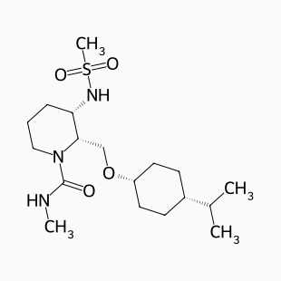 CNC(=O)N1CCC[C@H](NS(C)(=O)=O)[C@@H]1CO[C@H]1CC[C@@H](C(C)C)CC1